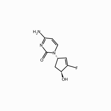 Nc1ccn([C@@H]2C=C(F)[C@@H](O)C2)c(=O)n1